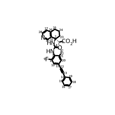 O=C(O)C[C@@]1(NC(=O)Nc2c(F)cc(C#Cc3ccccc3)cc2F)CCCc2ccncc21